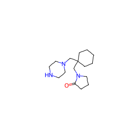 O=C1CCCN1CC1(CN2CCNCC2)CCCCC1